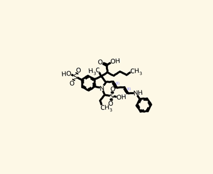 CCCCC(C(=O)O)C1(C)c2cc(S(=O)(=O)O)ccc2N(C(CC)S(=O)(=O)O)C1/C=C/C=C/Nc1ccccc1